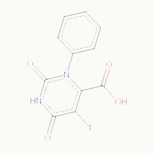 O=C(O)c1c(I)c(=O)[nH]c(=O)n1-c1ccccc1